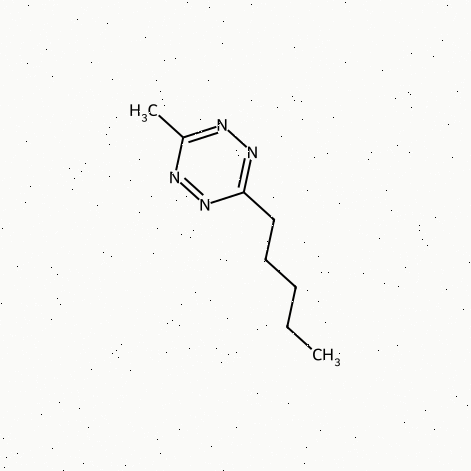 CCCCCc1nnc(C)nn1